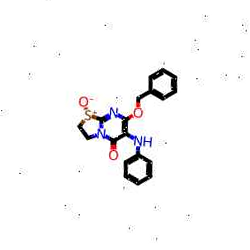 O=c1c(Nc2ccccc2)c(OCc2ccccc2)nc2n1CC[S+]2[O-]